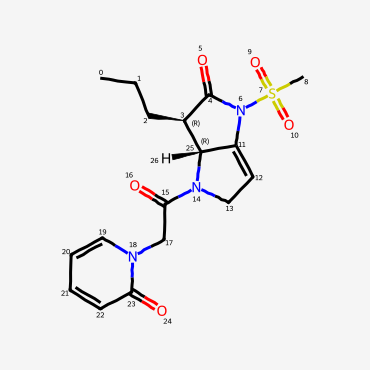 CCC[C@H]1C(=O)N(S(C)(=O)=O)C2=CCN(C(=O)Cn3ccccc3=O)[C@@H]21